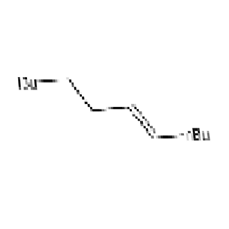 CCCC/C=[C]/CCC(C)CC